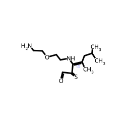 C/C(CC(C)C)=C(/NCCOCCN)C(=S)C=O